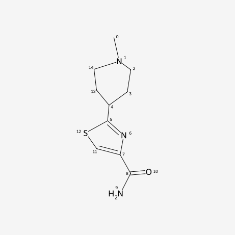 CN1CCC(c2nc(C(N)=O)cs2)CC1